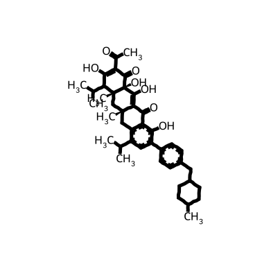 CC(=O)C1=C(O)C(C(C)C)[C@@]2(C)C[C@@]3(C)Cc4c(C(C)C)cc(-c5ccc(CC6CCC(C)CC6)cc5)c(O)c4C(=O)C3=C(O)[C@@]2(O)C1=O